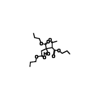 CCCOC(=O)CC(O)(C(=O)OCCC)C(C(C)=O)C(=O)OCCC